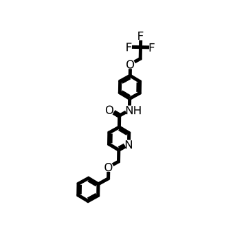 O=C(Nc1ccc(OCC(F)(F)F)cc1)c1ccc(COCc2ccccc2)nc1